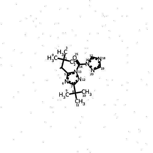 CC(C)(C)Cc1nc(C(C)(C)C)nn1C(=O)n1cncn1